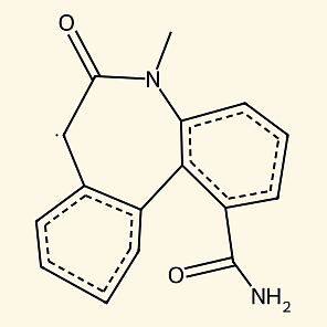 CN1C(=O)[CH]c2ccccc2-c2c(C(N)=O)cccc21